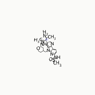 C/C(N)=C(\c1cnc2c3ccc(N[S+](C)[O-])nc3n(CC3CCOCC3)c2c1)N(C)N